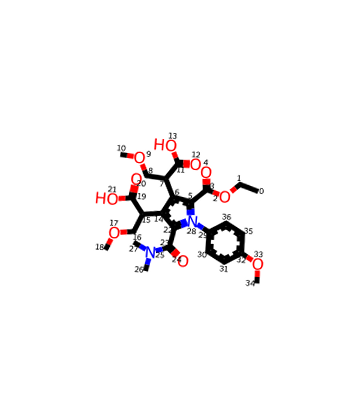 CCOC(=O)c1c(C(COC)C(=O)O)c(C(COC)C(=O)O)c(C(=O)N(C)C)n1-c1ccc(OC)cc1